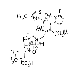 CCOC(=O)C1=C(CN2CC(F)(F)[C@H]3[C@@H]2CON3CCC(C)(C)C(=O)O)NC(c2nc(C)cs2)=NC1c1cccc(F)c1C